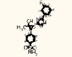 CC1(C)[C@H](c2ccc(S(N)(=O)=O)cc2)[C@H]1c1nc(-c2cccc(F)c2)no1